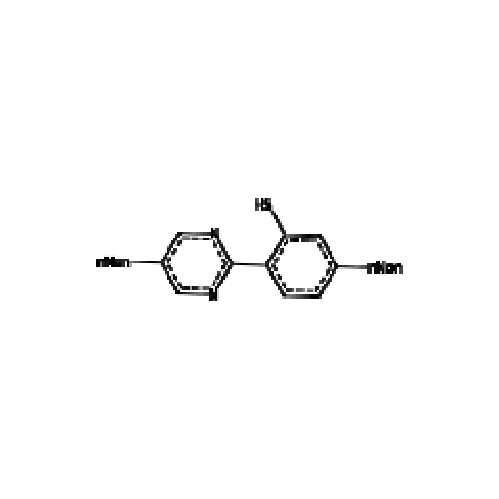 CCCCCCCCCc1cnc(-c2ccc(CCCCCCCCC)cc2S)nc1